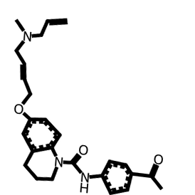 C=CCN(C)CC=CCOc1ccc2c(c1)CCCN2C(=O)Nc1ccc(C(C)=O)cc1